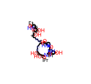 CC[C@H]1C[C@H](C)[C@@]2(NC1=O)O[C@@H](C[C@H](O)[C@@H](C)CC/C=C/C=C(\C)[C@@H]1C/C=C/C=C/[C@H](O)[C@H](C)[C@@H](O)[C@@H](CCC(C)C)C(=O)N[C@@H](C(C)C)C(=O)N[C@@H](Cc3cccc(O)c3)C(=O)N3CCC[C@H](N3)C(=O)O1)[C@H](C)[C@H](O)[C@@H]2C